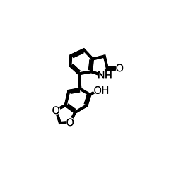 O=C1Cc2cccc(-c3cc4c(cc3O)OCO4)c2N1